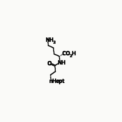 CCCCCCCCCC(=O)N[C@H](CCCN)C(=O)O